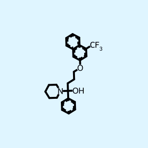 OC(CCCOc1cc(C(F)(F)F)c2ccccc2c1)(c1ccccc1)N1CCCCC1